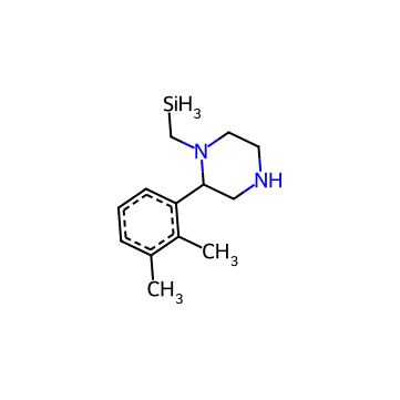 Cc1cccc(C2CNCCN2C[SiH3])c1C